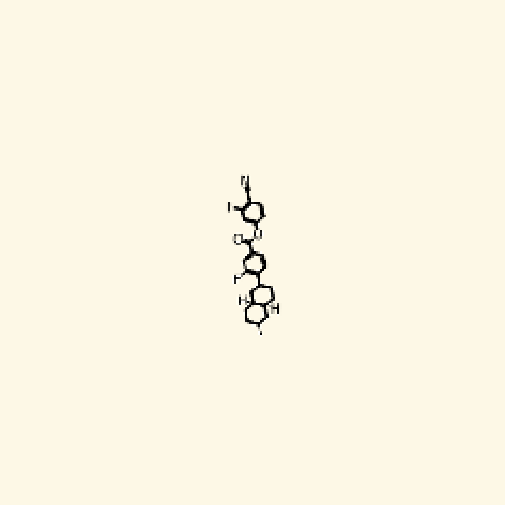 C[C@H]1CC[C@@H]2CC(c3ccc(C(=O)Oc4ccc(C#N)c(F)c4)cc3F)CC[C@H]2C1